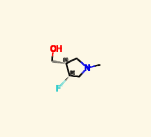 CN1C[C@@H](CO)[C@@H](F)C1